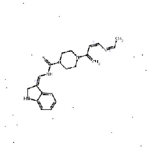 C=C(/C=C\N=C/C)N1CCN(C(=S)N/C=C2/CNc3ccccc32)CC1